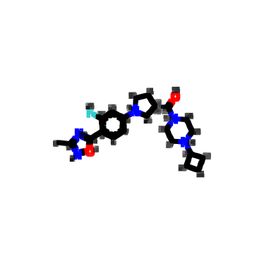 Cc1noc(-c2ccc(N3CC[C@H](C(=O)N4CCN(C5CCC5)CC4)C3)cc2F)n1